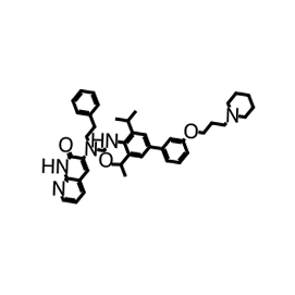 CC(C)c1cc(-c2cccc(OCCCN3CCCCC3)c2)cc(C(C)C)c1NC(=O)N(CCc1ccccc1)c1cc2cccnc2[nH]c1=O